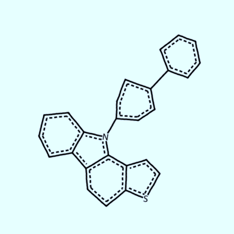 c1ccc(-c2ccc(-n3c4ccccc4c4ccc5sccc5c43)cc2)cc1